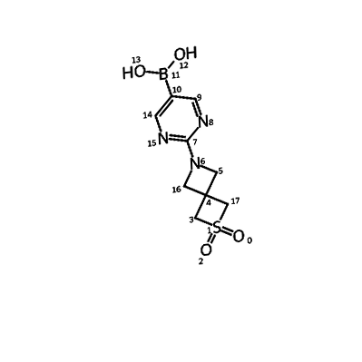 O=S1(=O)CC2(CN(c3ncc(B(O)O)cn3)C2)C1